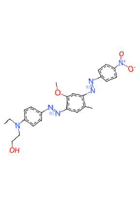 CCN(CCO)c1ccc(/N=N/c2cc(C)c(/N=N/c3ccc([N+](=O)[O-])cc3)cc2OC)cc1